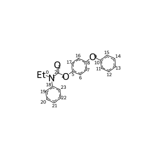 CCN(C(=O)Oc1ccc(Oc2ccccc2)cc1)c1ccccc1